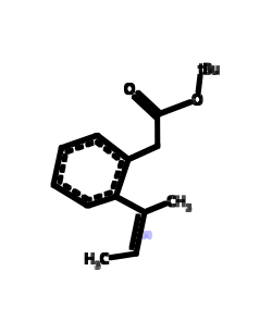 C/C=C(/C)c1ccccc1CC(=O)OC(C)(C)C